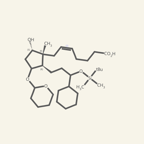 CC(C)(C)[Si](C)(C)OC(CC[C@H]1C(OC2CCCCO2)C[C@H](O)[C@]1(C)C/C=C\CCCC(=O)O)C1CCCCC1